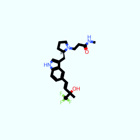 CNC(=O)CCN1CCC[C@@H]1Cc1c[nH]c2ccc(C=CC(C)(O)C(F)(F)F)cc12